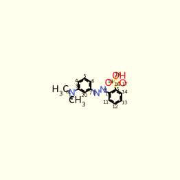 CN(C)c1cccc(/N=N/c2ccccc2S(=O)(=O)O)c1